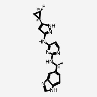 C[C@H](Nc1nccc(Nc2cc([C@H]3C[C@H]3F)[nH]n2)n1)c1ccc2[nH]cnc2c1